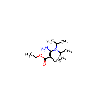 CCOC(=O)C(C)=C(N)N(C(C)C)C(C)C